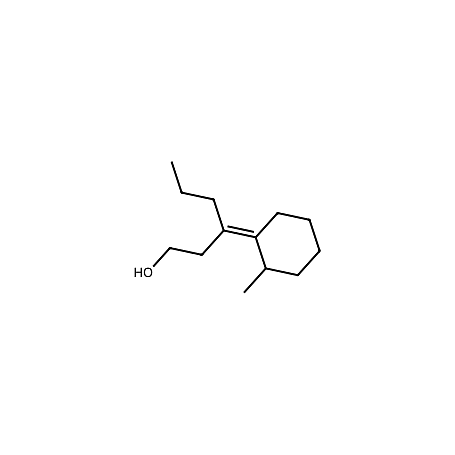 CCCC(CCO)=C1CCCCC1C